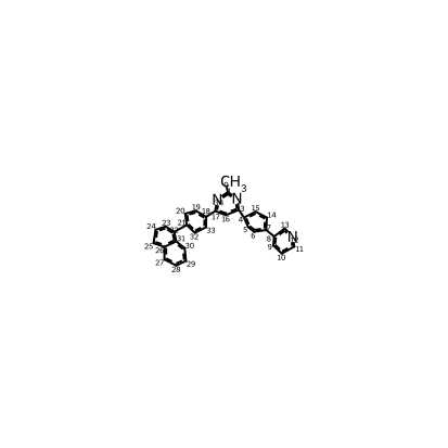 Cc1nc(-c2ccc(-c3cccnc3)cc2)cc(-c2ccc(-c3cccc4ccccc34)cc2)n1